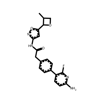 CC1COC1c1cc(NC(=O)Cc2ccc(-c3ccc(N)nc3F)cc2)no1